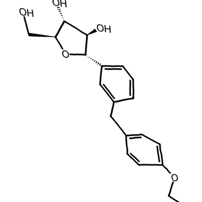 CCOc1ccc(Cc2cccc([C@@H]3O[C@@H](CO)[C@H](O)[C@H]3O)c2)cc1